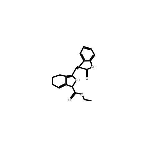 CCOC(=O)C1NC(C=C2C(=O)Nc3ccccc32)=C2CCCC=C21